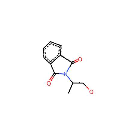 CC(C[O])N1C(=O)c2ccccc2C1=O